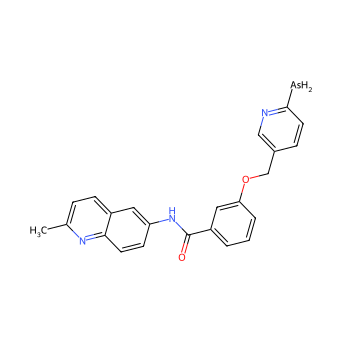 Cc1ccc2cc(NC(=O)c3cccc(OCc4ccc([AsH2])nc4)c3)ccc2n1